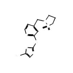 N#Cc1cnc(Nc2cc(CN3CCCS3(=O)=O)ccn2)s1